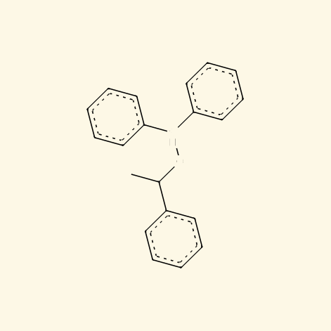 CC(O[SiH](c1ccccc1)c1ccccc1)c1ccccc1